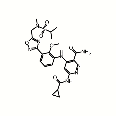 COc1c(Nc2cc(NC(=O)C3CC3)nnc2C(N)=O)cccc1-c1noc(CN(C)S(=O)(=O)C(C)C)n1